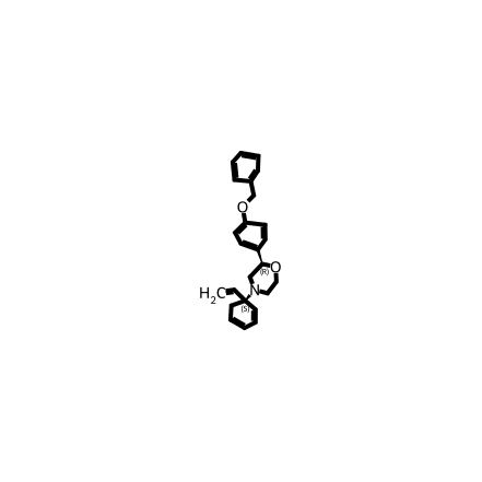 C=C[C@]1(N2CCO[C@H](c3ccc(OCc4ccccc4)cc3)C2)C=CC=CC1